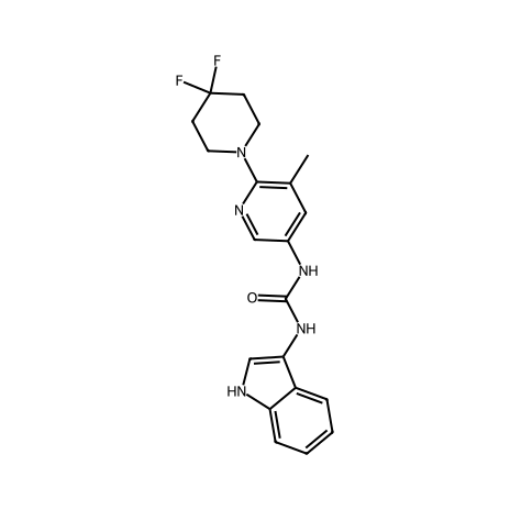 Cc1cc(NC(=O)Nc2c[nH]c3ccccc23)cnc1N1CCC(F)(F)CC1